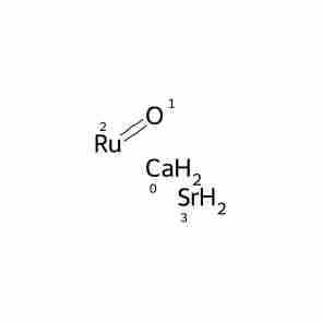 [CaH2].[O]=[Ru].[SrH2]